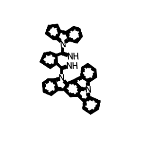 N=C(c1ccccc1C(=N)n1c2ccccc2c2cc3c4ccccc4n4c5ccccc5c(c21)c34)n1c2ccccc2c2ccccc21